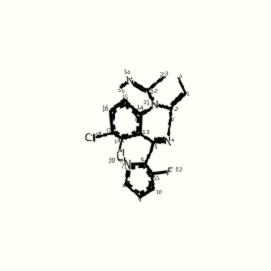 C/C=C1/CN=C(c2ncccc2F)c2c(ccc(Cl)c2Cl)N1/C(C)=N\C